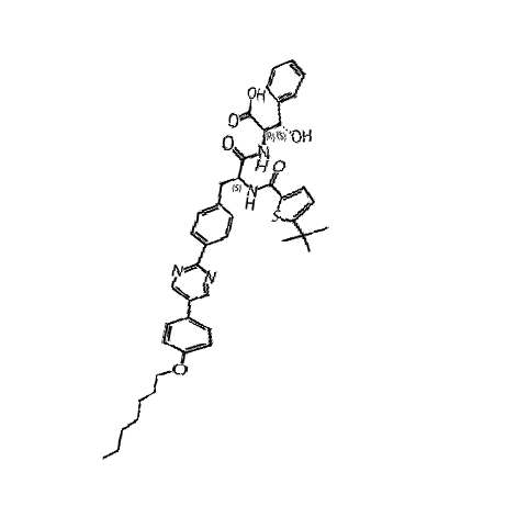 CCCCCCCOc1ccc(-c2cnc(-c3ccc(C[C@H](NC(=O)c4ccc(C(C)(C)C)s4)C(=O)N[C@@H](C(=O)O)[C@@H](O)c4ccccc4)cc3)nc2)cc1